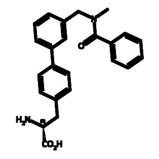 CN(Cc1cccc(-c2ccc(C[C@@H](N)C(=O)O)cc2)c1)C(=O)c1ccccc1